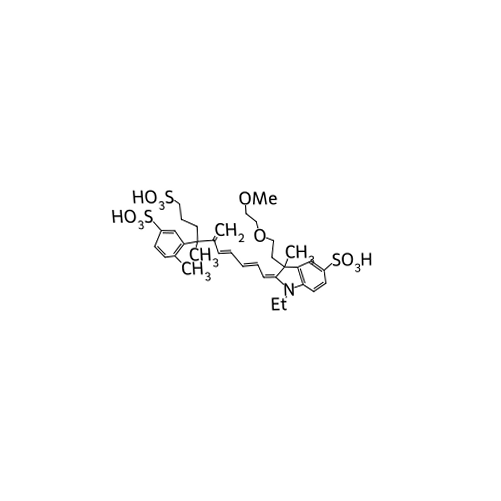 C=C(/C=C/C=C/C=C1/N(CC)c2ccc(S(=O)(=O)O)cc2C1(C)CCOCCOC)C(C)(CCCS(=O)(=O)O)c1cc(S(=O)(=O)O)ccc1C